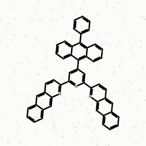 c1ccc(-c2c3ccccc3c(-c3cc(-c4ccc5cc6ccccc6cc5n4)nc(-c4ccc5cc6ccccc6cc5n4)c3)c3ccccc23)cc1